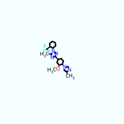 COc1cc(-c2nc(C)n(-c3ccccc3C(F)(F)F)n2)ccc1-n1cnc(C)c1